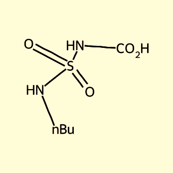 CCCCNS(=O)(=O)NC(=O)O